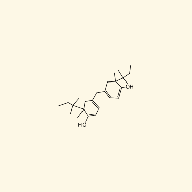 CCC(C)(C)C1(C)CC(CC2=CC=C(O)C(C)(C(C)(C)CC)C2)=CC=C1O